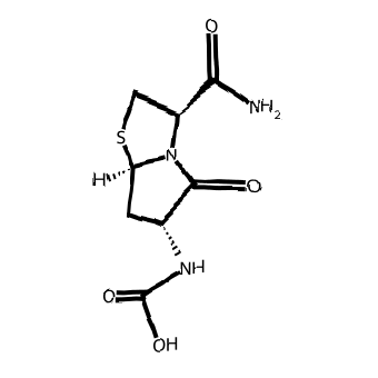 NC(=O)[C@@H]1CS[C@@H]2C[C@@H](NC(=O)O)C(=O)N21